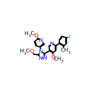 COCc1nnc(-c2cnc(-c3ccc(F)cc3C)cc2OC)n1-c1ccc(OC)nc1